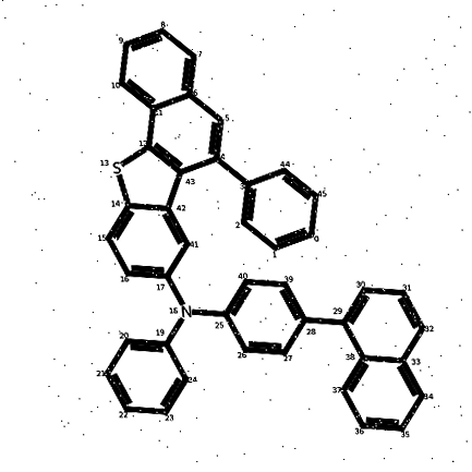 c1ccc(-c2cc3ccccc3c3sc4ccc(N(c5ccccc5)c5ccc(-c6cccc7ccccc67)cc5)cc4c23)cc1